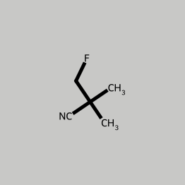 CC(C)(C#N)CF